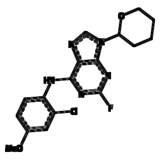 COc1ccc(Nc2nc(F)nc3c2ncn3C2CCCCO2)c(Cl)c1